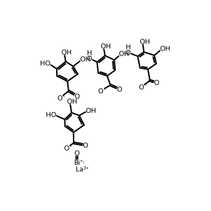 O=C([O-])c1cc(O)c(O)c(O)c1.O=C([O-])c1cc(O)c(O)c(O)c1.O=C([O-])c1cc(O)c(O)c(O)c1.O=C([O-])c1cc(O)c(O)c(O)c1.[La+3].[O]=[Bi+]